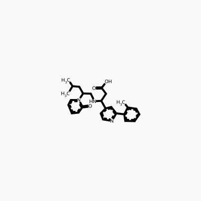 Cc1ccccc1-c1cc(C(CC(=O)O)NCC(CC(C)C)n2ccccc2=O)ccn1